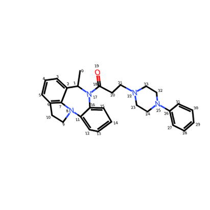 CC1c2cccc3c2N(CC3)c2ccccc2N1C(=O)CCN1CCN(c2ccccc2)CC1